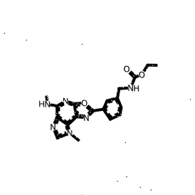 CCOC(=O)NCc1cccc(-c2nc3c(nc(NC)c4ncn(C)c43)o2)c1